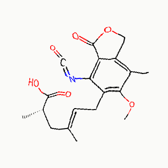 COc1c(C)c2c(c(N=C=O)c1C/C=C(\C)C[C@H](C)C(=O)O)C(=O)OC2